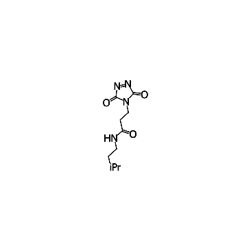 CC(C)CCNC(=O)CCN1C(=O)N=NC1=O